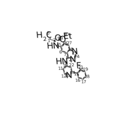 C=CC(=O)Nc1cc2c(Nc3ccnc(-c4ccccc4F)c3)ncnc2cc1OCC